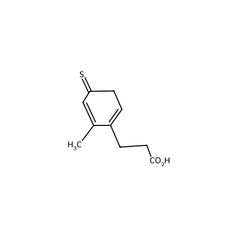 CC1=CC(=S)CC=C1CCC(=O)O